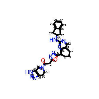 O=C(Cc1nnc(C2CCCc3cnc(NC4Cc5ccccc5C4)nc32)o1)N1CCc2nn[nH]c2C1